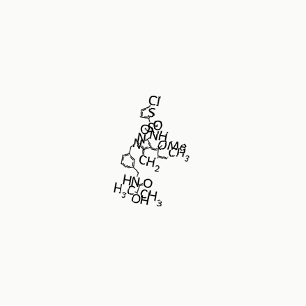 C=c1/c(=C(\C=C/C)OC)c(NS(=O)(=O)c2ccc(Cl)s2)nn1Cc1cccc(CNC(=O)C(C)(C)O)c1